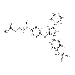 O=C(O)CCNC(=O)c1ccc(Cn2nc(-c3ccccn3)cc2-c2ccc(OC(F)(F)F)cc2)cc1